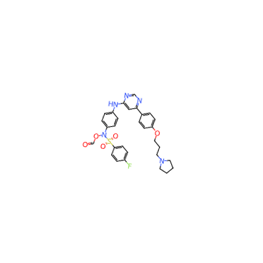 O=CON(c1ccc(Nc2cc(-c3ccc(OCCCN4CCCC4)cc3)ncn2)cc1)S(=O)(=O)c1ccc(F)cc1